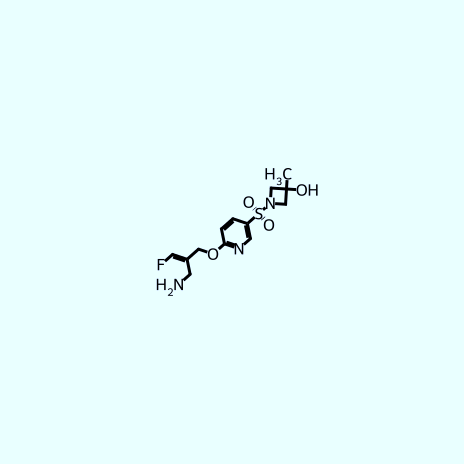 CC1(O)CN(S(=O)(=O)c2ccc(OC/C(=C/F)CN)nc2)C1